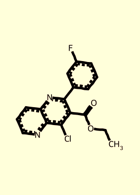 CCOC(=O)c1c(-c2cccc(F)c2)nc2cccnc2c1Cl